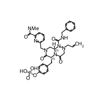 C=CCN1CC(=O)N2[C@@H](Cc3ccc(OP(=O)(O)O)cc3)C(=O)N(Cc3cccc(C(=O)NC)n3)C[C@@H]2N1C(=O)NCc1ccccc1